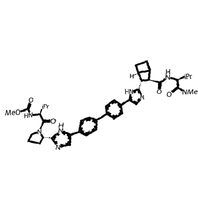 CNC(=O)[C@@H](NC(=O)[C@@H]1C2CC[C@@H]2[C@H]1c1ncc(-c2ccc(-c3ccc(-c4cnc([C@@H]5CCCN5C(=O)[C@@H](NC(=O)OC)C(C)C)[nH]4)cc3)cc2)[nH]1)C(C)C